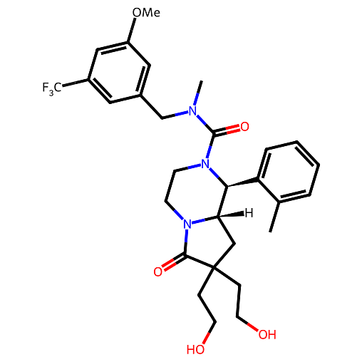 COc1cc(CN(C)C(=O)N2CCN3C(=O)C(CCO)(CCO)C[C@H]3[C@@H]2c2ccccc2C)cc(C(F)(F)F)c1